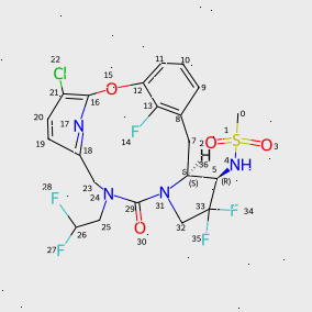 CS(=O)(=O)N[C@@H]1[C@@H]2Cc3cccc(c3F)Oc3nc(ccc3Cl)CN(CC(F)F)C(=O)N2CC1(F)F